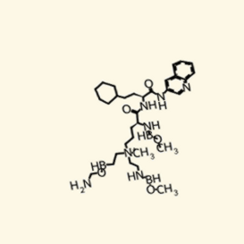 COBNCC[N+](C)(CCBOCN)CCC[C@H](NBOC)C(=O)N[C@@H](CCC1CCCCC1)C(=O)Nc1cnc2ccccc2c1